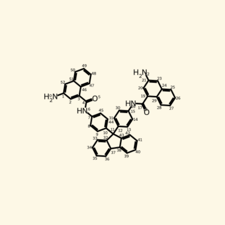 Nc1cc(C(=O)Nc2ccc(C3(c4ccc(NC(=O)c5cc(N)cc6ccccc56)cc4)c4ccccc4-c4ccccc43)cc2)c2ccccc2c1